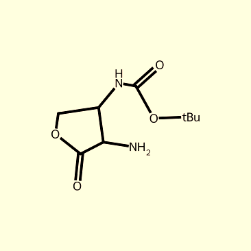 CC(C)(C)OC(=O)NC1COC(=O)C1N